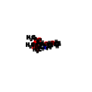 CCCN(Cc1ccc(Oc2ccccc2)cc1)C(=O)C1CC([C@@H](C(=O)OC)C(=O)OCC)C1CC(=O)O